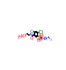 NS(=O)(=O)c1cc(C(=O)NCCO)c(Cl)cc1Cl